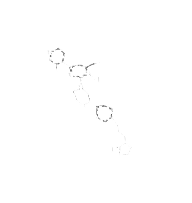 Cn1c(N2CCO[C@@H](c3ccc(OCCC4CCCN4)cc3)C2)nc(-c2ccncc2F)cc1=O